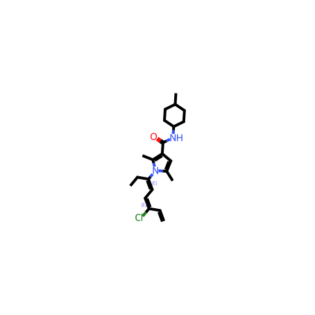 C=C/C(Cl)=C\C=C(/CC)n1c(C)cc(C(=O)NC2CCC(C)CC2)c1C